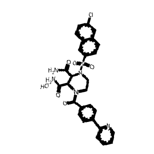 Cl.NC(=O)C1C(C(N)=O)N(S(=O)(=O)c2ccc3cc(Cl)ccc3c2)CCN1C(=O)c1ccc(-c2ccccn2)cc1